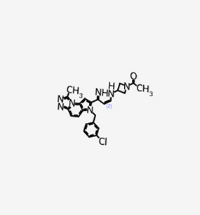 CC(=O)N1CC(N/C=C\C(=N)c2cc3c(ccc4nnc(C)n43)n2Cc2cccc(Cl)c2)C1